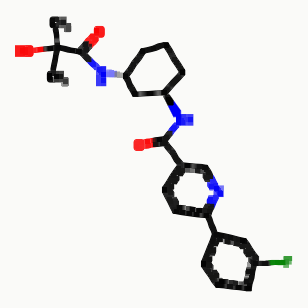 CC(C)(O)C(=O)N[C@@H]1CCC[C@@H](NC(=O)c2ccc(-c3cccc(F)c3)nc2)C1